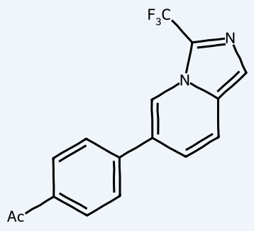 CC(=O)c1ccc(-c2ccc3cnc(C(F)(F)F)n3c2)cc1